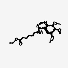 CCOC(=O)CCCCCNc1ncnc2c(OC)c(OC)c(OC)cc12